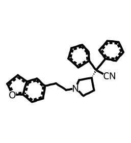 N#CC(c1ccccc1)(c1ccccc1)[C@@H]1CCN(CCc2ccc3occc3c2)C1